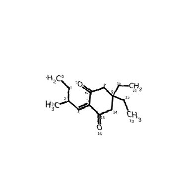 [CH2]CC(C)C=C1C(=O)CC(CC)(CC)CC1=O